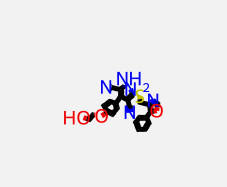 N#Cc1c(N)nc(SCc2ncoc2-c2ccccc2)c(C#N)c1-c1ccc(OCCO)cc1